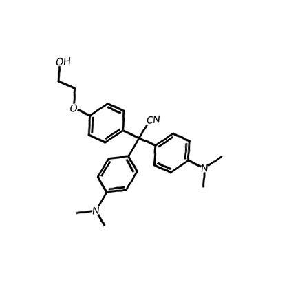 CN(C)c1ccc(C(C#N)(c2ccc(OCCO)cc2)c2ccc(N(C)C)cc2)cc1